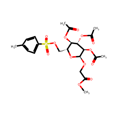 COC(=O)CO[C@H]1O[C@H](COS(=O)(=O)c2ccc(C)cc2)[C@@H](OC(C)=O)[C@H](OC(C)=O)[C@H]1OC(C)=O